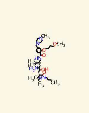 CCCCNC(=O)[C@@H](C[C@H](O)[C@@H](N)C[C@H](CNC(=O)c1ccc(CN2CCN(C)CC2)cc1OCCCCOC)C(C)C)C(C)C